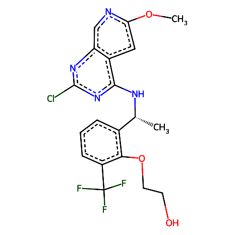 COc1cc2c(N[C@H](C)c3cccc(C(F)(F)F)c3OCCO)nc(Cl)nc2cn1